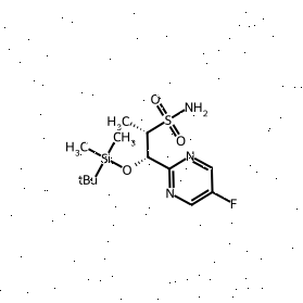 C[C@@H]([C@@H](O[Si](C)(C)C(C)(C)C)c1ncc(F)cn1)S(N)(=O)=O